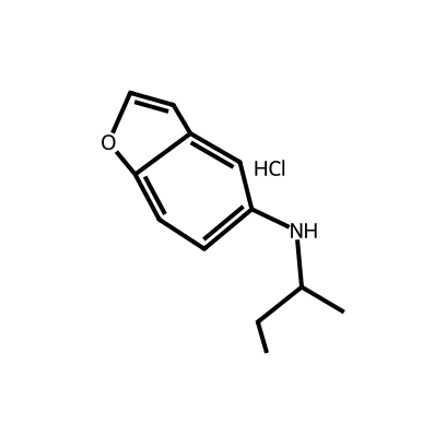 CCC(C)Nc1ccc2occc2c1.Cl